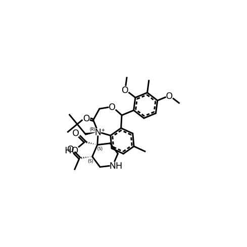 COc1ccc(C2OCC(=O)[N@@+](CC(C)(C)C)([C@@]3(C(=O)O)CCNC[C@@H]3C(C)=O)c3ccc(C)cc32)c(OC)c1C